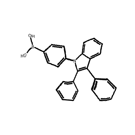 OB(O)c1ccc(-n2c(-c3ccccc3)c(-c3ccccc3)c3ccccc32)cc1